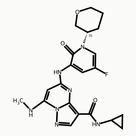 CNc1cc(Nc2cc(F)cn([C@H]3CCCOC3)c2=O)nc2c(C(=O)NC3CC3)cnn12